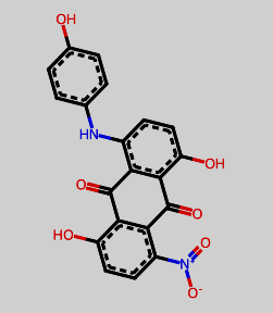 O=C1c2c(O)ccc([N+](=O)[O-])c2C(=O)c2c(O)ccc(Nc3ccc(O)cc3)c21